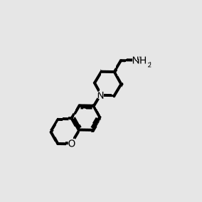 NCC1CCN(c2ccc3c(c2)CCCO3)CC1